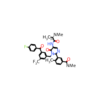 CNC(=O)c1ccc(C)c(-c2ncc(NC(=O)[C@H](C)NC)c(=O)n2Cc2cc(C(=O)c3ccc(F)cc3)cc(C(F)(F)F)c2)c1